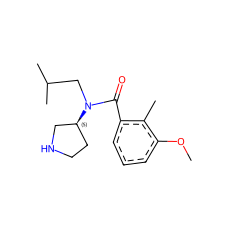 COc1cccc(C(=O)N(CC(C)C)[C@H]2CCNC2)c1C